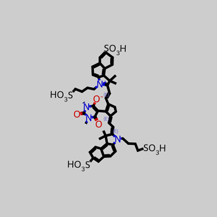 Cn1c([O-])c(C2=C(/C=C/C3=[N+](CCCCS(=O)(=O)O)c4ccc5cc(S(=O)(=O)O)ccc5c4C3(C)C)CC/C2=C\C=C2\N(CCCCS(=O)(=O)O)c3ccc4cc(S(=O)(=O)O)ccc4c3C2(C)C)c(=O)n(C)c1=O